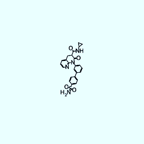 NS(=O)(=O)c1ccc(-c2cccc(N3C(=O)C(C(=O)NC4CC4)Cc4cccnc43)c2)cc1